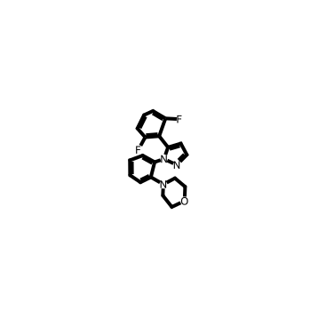 Fc1cccc(F)c1-c1ccnn1-c1ccccc1N1CCOCC1